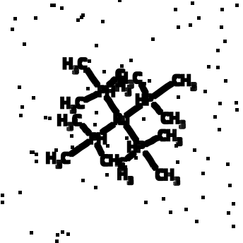 C[PH](C)(C)[Ru]([PH](C)(C)C)([PH](C)(C)C)[PH](C)(C)C